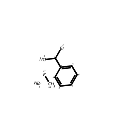 Br.CCC(O)c1ccccc1.CF